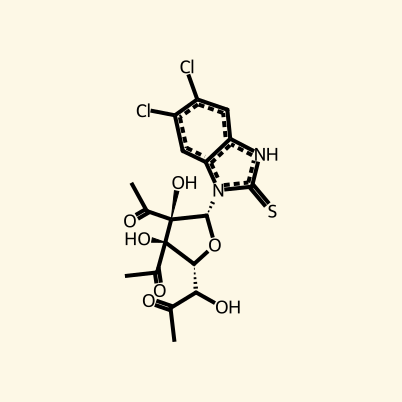 CC(=O)C(O)[C@H]1O[C@@H](n2c(=S)[nH]c3cc(Cl)c(Cl)cc32)[C@@](O)(C(C)=O)[C@@]1(O)C(C)=O